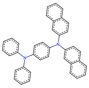 c1ccc(N(c2ccccc2)c2ccc(N(c3ccc4ccccc4c3)c3ccc4ccccc4c3)cc2)cc1